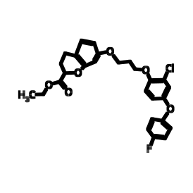 CCOC(=O)C1CCc2ccc(OCCCOc3ccc(Oc4ccc(F)cc4)cc3Cl)cc2O1